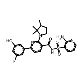 CC1CCN(c2nc(-c3cc(O)cc(F)c3)ccc2C(=O)NS(=O)(=O)c2cccnc2N)C1(C)C